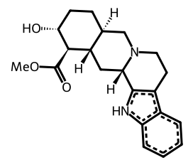 COC(=O)[C@@H]1[C@H]2C[C@H]3c4[nH]c5ccccc5c4CCN3C[C@@H]2CC[C@H]1O